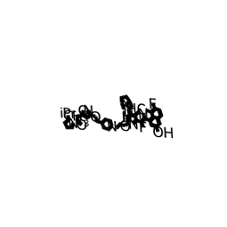 C#Cc1c(F)ccc2cc(O)cc(-c3ncc4c(N5CC6CCC(C5)N6)nc(OCCN5CCC(COc6cc(C(C(=O)N7CCCC7C)C(C)C)on6)CC5)nc4c3F)c12